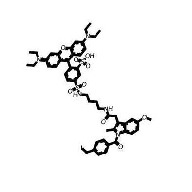 CCN(CC)c1ccc2c(-c3ccc(S(=O)(=O)NCCCCNC(=O)Cc4c(C)n(C(=O)c5ccc(CI)cc5)c5ccc(OC)cc45)cc3S(=O)(=O)O)c3ccc(=[N+](CC)CC)cc-3oc2c1